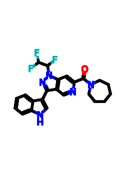 O=C(c1cc2c(cn1)c(-c1c[nH]c3ccccc13)nn2C(F)C(F)F)N1CCCCCC1